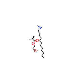 C=C(C)C(=O)OCCBr.CCCCCCCCCCCCN(C)C